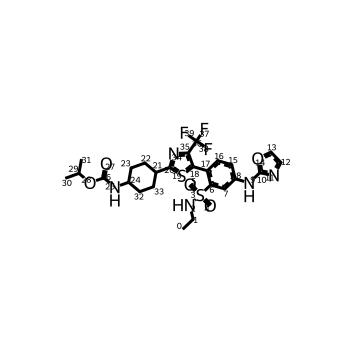 CCNS(=O)(=O)c1cc(Nc2ncco2)ccc1-c1sc(C2CCC(NC(=O)OC(C)C)CC2)nc1C(F)(F)F